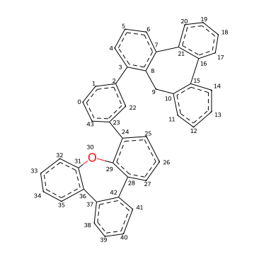 c1cc(-c2cccc3c2Cc2ccccc2-c2ccccc2-3)cc(-c2cccc3c2Oc2ccccc2-c2ccccc2-3)c1